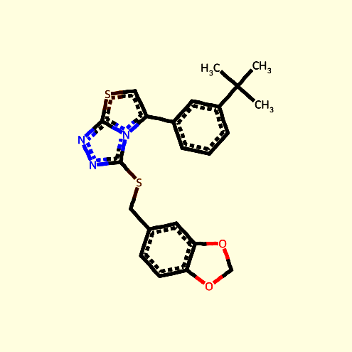 CC(C)(C)c1cccc(-c2csc3nnc(SCc4ccc5c(c4)OCO5)n23)c1